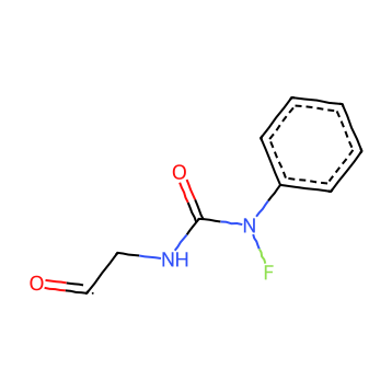 O=[C]CNC(=O)N(F)c1ccccc1